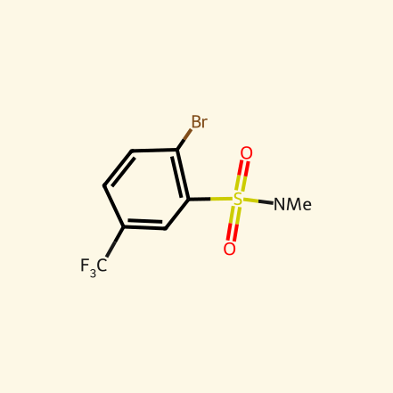 CNS(=O)(=O)c1cc(C(F)(F)F)ccc1Br